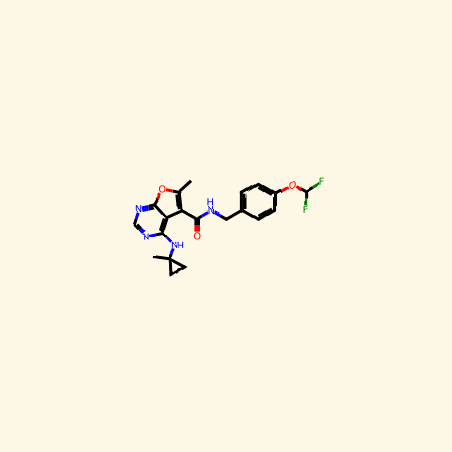 Cc1oc2ncnc(NC3(C)CC3)c2c1C(=O)NCc1ccc(OC(F)F)cc1